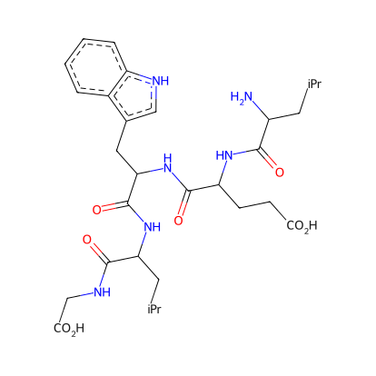 CC(C)CC(N)C(=O)NC(CCC(=O)O)C(=O)NC(Cc1c[nH]c2ccccc12)C(=O)NC(CC(C)C)C(=O)NCC(=O)O